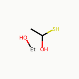 CC(O)S.CCO